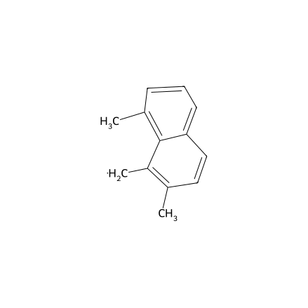 [CH2]c1c(C)ccc2cccc(C)c12